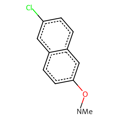 CNOc1ccc2cc(Cl)ccc2c1